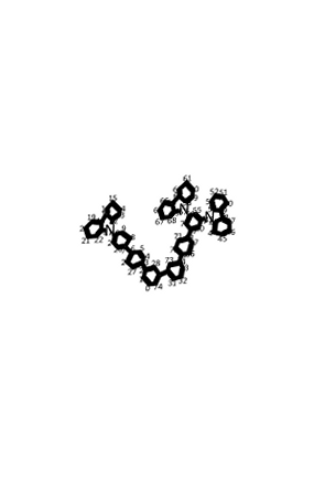 c1cc(-c2ccc(-c3ccc(-n4c5ccccc5c5ccccc54)cc3)cc2)cc(-c2cccc(-c3ccc(-c4cc(-n5c6ccccc6c6ccccc65)cc(-n5c6ccccc6c6ccccc65)c4)cc3)c2)c1